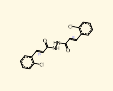 O=C(/C=C/c1ccccc1Cl)NNC(=O)/C=C/c1ccccc1Cl